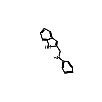 c1ccc(NCc2cc3ccccc3[nH]2)cc1